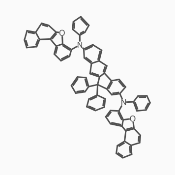 c1ccc(N(c2ccc3c(c2)C(c2ccccc2)(c2ccccc2)c2cc4cc(N(c5ccccc5)c5cccc6c5oc5ccc7ccccc7c56)ccc4cc2-3)c2cccc3c2oc2ccc4ccccc4c23)cc1